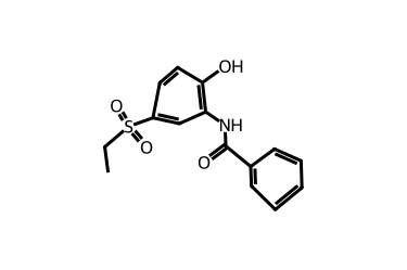 CCS(=O)(=O)c1ccc(O)c(NC(=O)c2ccccc2)c1